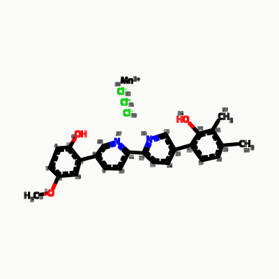 COc1ccc(O)c(-c2ccc(-c3ccc(-c4ccc(C)c(C)c4O)cn3)nc2)c1.[Cl-].[Cl-].[Cl-].[Mn+3]